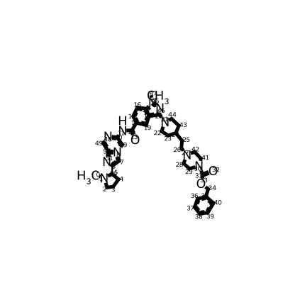 CN1CCC[C@@H]1c1cn2cc(NC(=O)c3ccc4c(c3)c(N3CCC(CCN5CCN(C(=O)OCc6ccccc6)CC5)CC3)nn4C)ncc2n1